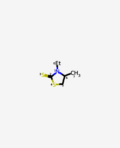 CCN1C(=S)SCC1C